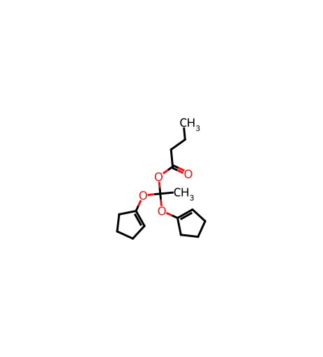 CCCC(=O)OC(C)(OC1=CCCC1)OC1=CCCC1